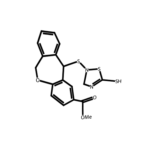 COC(=O)c1ccc2c(c1)C(SN1CN=C(S)S1)c1ccccc1CO2